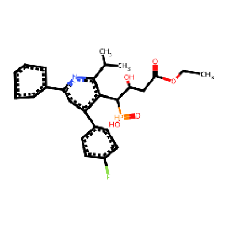 CCOC(=O)CC(O)C(c1c(-c2ccc(F)cc2)cc(-c2ccccc2)nc1C(C)C)[PH](=O)O